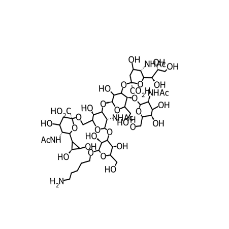 CC(=O)N[C@@H]1C(O)C[C@](OCC2OC(OC3[C@H](O)C(OCCCCCN)OC(CO)[C@@H]3O)[C@@H](NC(C)=O)C(O[C@@H]3OC(CO)[C@H](OC4OC(CO)[C@H](O)C(O)[C@@H]4NC(C)=O)C(O[C@@]4(C(=O)O)CC(O)[C@H](NC(C)=O)C([C@H](O)[C@H](O)CO)O4)C3O)[C@@H]2O)(C(=O)O)OC1C1C(O)[C@H]1O